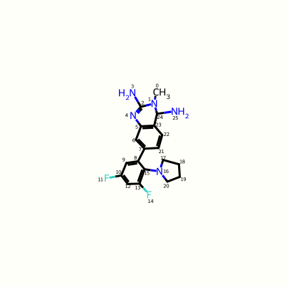 CN1C(N)=Nc2cc(-c3cc(F)cc(F)c3N3CCCC3)ccc2C1N